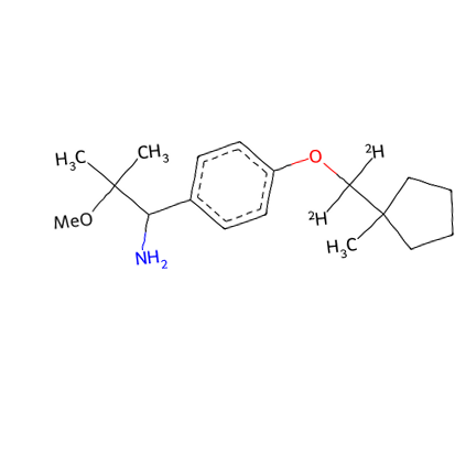 [2H]C([2H])(Oc1ccc(C(N)C(C)(C)OC)cc1)C1(C)CCCC1